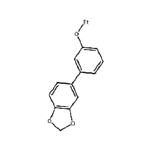 CCOc1cc[c]c(-c2ccc3c(c2)OCO3)c1